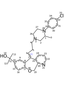 CC1CN(CC/C=C2/c3cc(C(C)(C)O)ccc3OCc3ncccc32)CCN1c1ccc(Cl)cc1